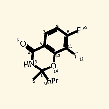 CCCC1(C)NC(=O)c2ccc(F)c(F)c2O1